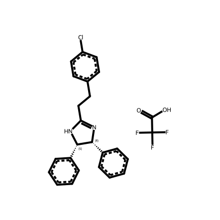 Clc1ccc(CCC2=N[C@H](c3ccccc3)[C@H](c3ccccc3)N2)cc1.O=C(O)C(F)(F)F